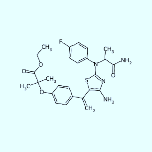 C=C(c1ccc(OC(C)(C)C(=O)OCC)cc1)c1sc(N(c2ccc(F)cc2)C(C)C(N)=O)nc1N